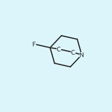 FC12CCN(CC1)CC2